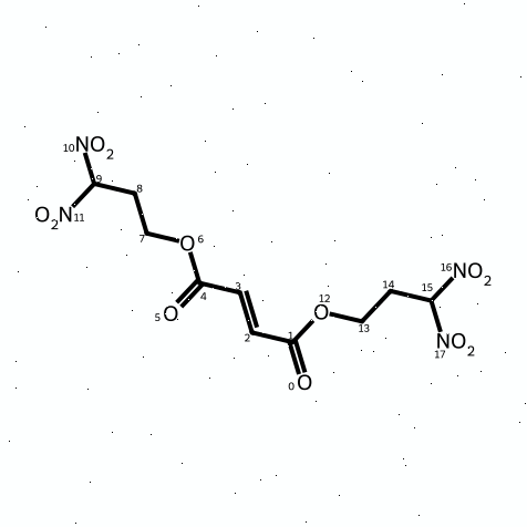 O=C(C=CC(=O)OCCC([N+](=O)[O-])[N+](=O)[O-])OCCC([N+](=O)[O-])[N+](=O)[O-]